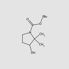 CC(C)(C)OC(=O)N1CCC(O)C1(C)C